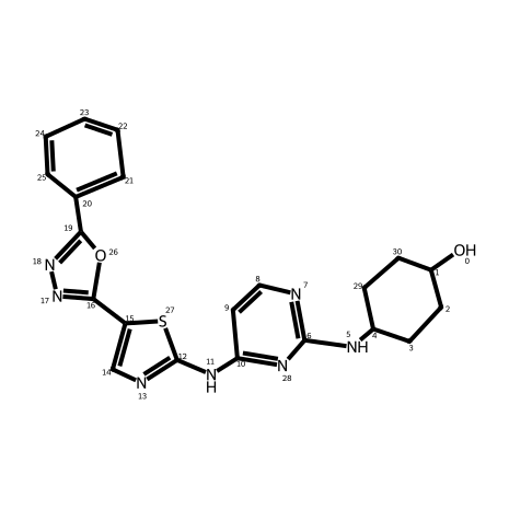 OC1CCC(Nc2nccc(Nc3ncc(-c4nnc(-c5ccccc5)o4)s3)n2)CC1